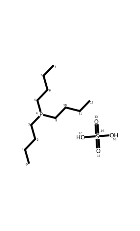 CCCCP(CCCC)CCCC.O=S(=O)(O)O